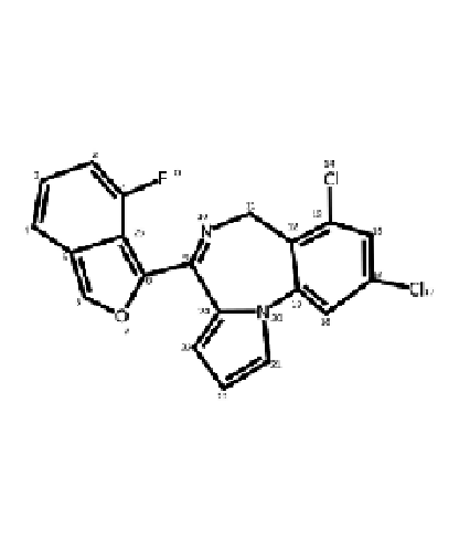 Fc1cccc2coc(C3=NCc4c(Cl)cc(Cl)cc4-n4cccc43)c12